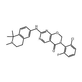 CN1CCc2cc(Nc3ncc4c(n3)OCN(c3c(F)cccc3Cl)C4=O)ccc2C1(C)C